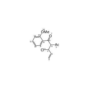 C=CC(Cl)C(C(C)=O)C(=O)c1ccccc1OC